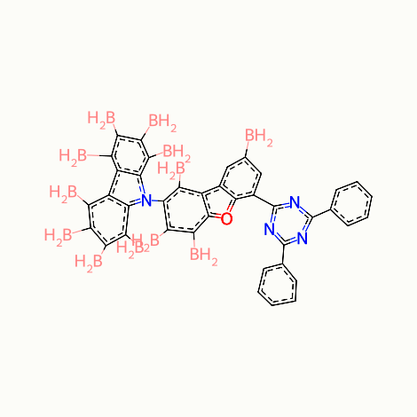 Bc1cc(-c2nc(-c3ccccc3)nc(-c3ccccc3)n2)c2oc3c(B)c(B)c(-n4c5c(B)c(B)c(B)c(B)c5c5c(B)c(B)c(B)c(B)c54)c(B)c3c2c1